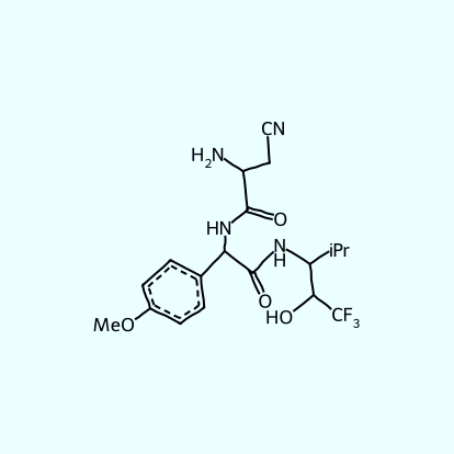 COc1ccc(C(NC(=O)C(N)CC#N)C(=O)NC(C(C)C)C(O)C(F)(F)F)cc1